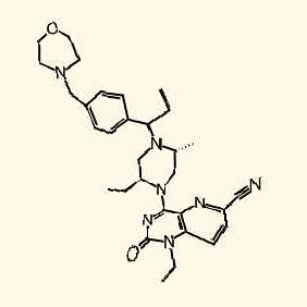 CCC(c1ccc(CN2CCOCC2)cc1)N1C[C@H](CC)N(c2nc(=O)n(CC)c3ccc(C#N)nc23)C[C@H]1C